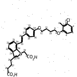 Cc1c(Cl)cccc1OCCCCOc1ccc(C=Cc2cccc3c(CCCC(=O)O)cn(CC(=O)O)c23)cc1